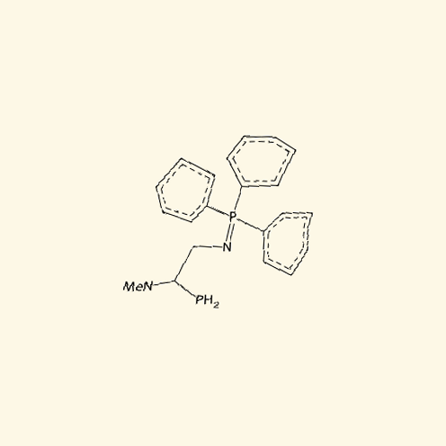 CNC(P)CN=P(c1ccccc1)(c1ccccc1)c1ccccc1